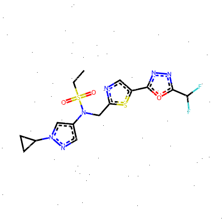 CCS(=O)(=O)N(Cc1ncc(-c2nnc(C(F)F)o2)s1)c1cnn(C2CC2)c1